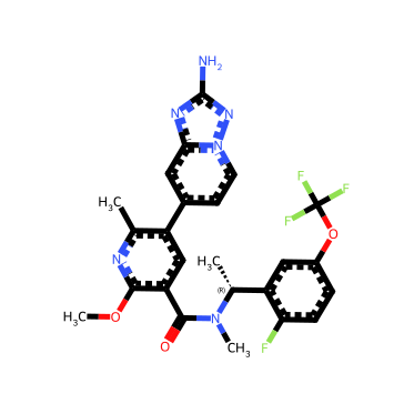 COc1nc(C)c(-c2ccn3nc(N)nc3c2)cc1C(=O)N(C)[C@H](C)c1cc(OC(F)(F)F)ccc1F